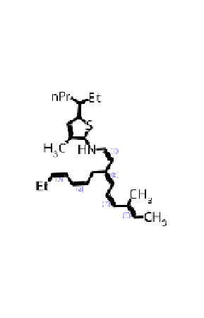 C/C=C(C)/C=C\C=C(\C=C/NC1SC(C(CC)CCC)C=C1C)C/C=C\C=C/CC